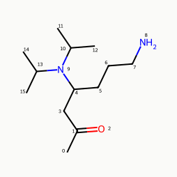 CC(=O)CC(CCCN)N(C(C)C)C(C)C